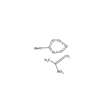 C=C(C)[N+](=O)[O-].COc1ccccc1